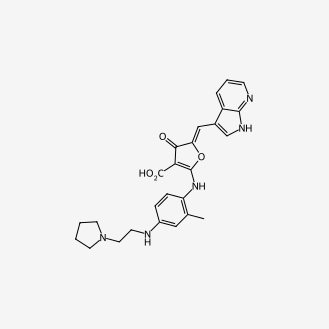 Cc1cc(NCCN2CCCC2)ccc1NC1=C(C(=O)O)C(=O)/C(=C/c2c[nH]c3ncccc23)O1